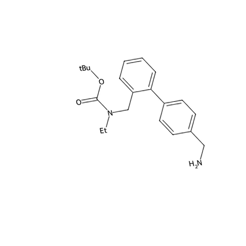 CCN(Cc1ccccc1-c1ccc(CN)cc1)C(=O)OC(C)(C)C